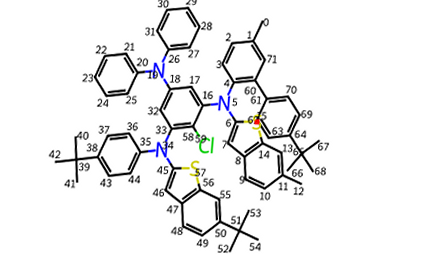 Cc1ccc(N(c2cc3ccc(C)cc3s2)c2cc(N(c3ccccc3)c3ccccc3)cc(N(c3ccc(C(C)(C)C)cc3)c3cc4ccc(C(C)(C)C)cc4s3)c2Cl)c(-c2ccc(C(C)(C)C)cc2)c1